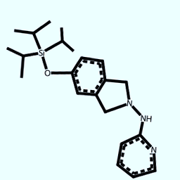 CC(C)[Si](Oc1ccc2c(c1)CN(Nc1ccccn1)C2)(C(C)C)C(C)C